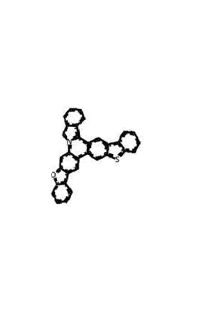 c1ccc2c(c1)cn1c3cc4oc5ccccc5c4cc3c3cc4sc5ccccc5c4cc3c21